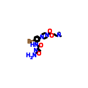 CN(C)CCOC(=O)N1CCN(c2ccc(Br)c(NC(=O)c3coc(N)n3)c2)CC1